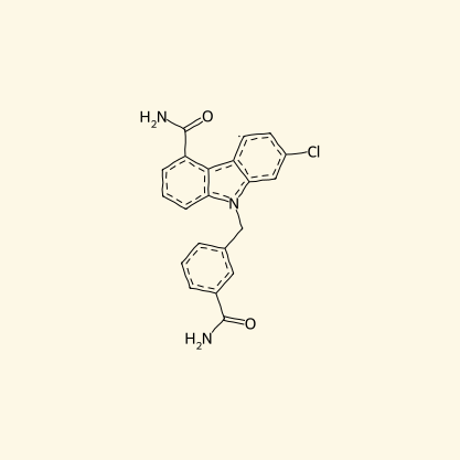 NC(=O)c1cccc(Cn2c3cc(Cl)c[c]c3c3c(C(N)=O)cccc32)c1